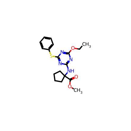 CCOc1nc(NC2(C(=O)OC)CCCC2)nc(Sc2ccccc2)n1